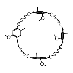 COc1cc2c(C)cc1CSSCc1cc(OC)c(cc1C)CSSCc1cc(C)c(cc1OC)CSSCc1cc(C)c(cc1OC)CSSC2